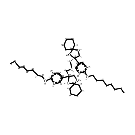 CCCCCCCCOc1ncc([C@]2(COC[C@@]3(c4cnc(OCCCCCCCC)nc4)COC4(CCCCC4)O3)COC3(CCCCC3)O2)cn1